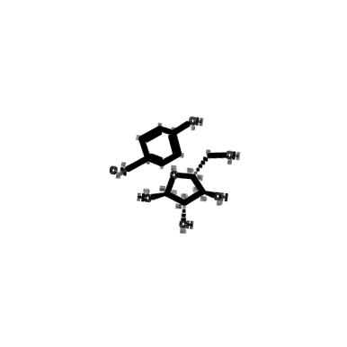 O=[N+]([O-])c1ccc(O)cc1.OC[C@H]1O[C@H](O)[C@@H](O)[C@@H]1O